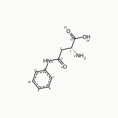 N[C@H](CC(=O)Nc1ccccc1)C(=O)O